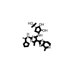 Cc1nc(N[C@H](C)C2CCCC2)nc(NC2C[C@H](C(C)(C)O)[C@@H](O)[C@H]2O)c1-c1nc2c(C)nccc2s1